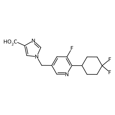 O=C(O)c1cn(Cc2cnc(C3CCC(F)(F)CC3)c(F)c2)cn1